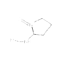 CCNC1CCC[N+]1=O